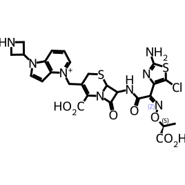 C[C@H](O/N=C(\C(=O)NC1C(=O)N2C(C(=O)O)=C(C[n+]3cccc4c3ccn4C3CNC3)CSC12)c1nc(N)sc1Cl)C(=O)O